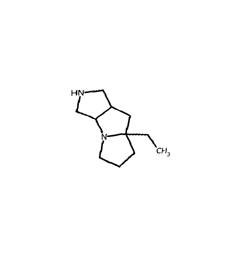 CCC12CCCN1C1CNCC1C2